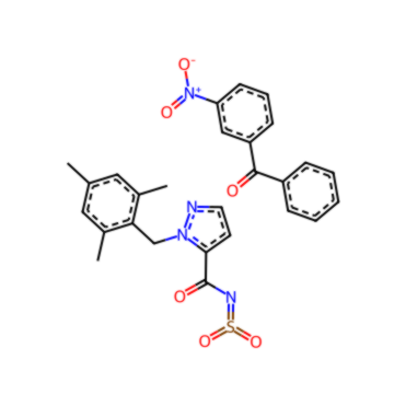 Cc1cc(C)c(Cn2nccc2C(=O)N=S(=O)=O)c(C)c1.O=C(c1ccccc1)c1cccc([N+](=O)[O-])c1